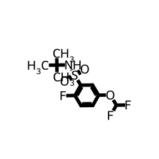 CC(C)(C)NS(=O)(=O)c1cc(OC(F)F)ccc1F